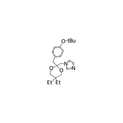 CCC1(CC)COC(Cc2ccc(OC(C)(C)C)cc2)(Cn2ccnc2)OC1